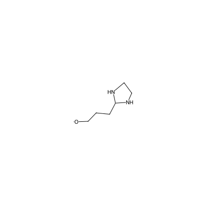 [O]CCCC1NCCN1